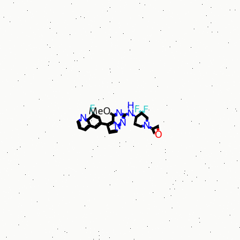 COc1nc(N[C@@H]2CCN(C3COC3)CC2(F)F)nn2ccc(-c3cc(F)c4ncccc4c3)c12